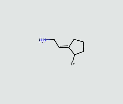 CCC1CCC/C1=C\CN